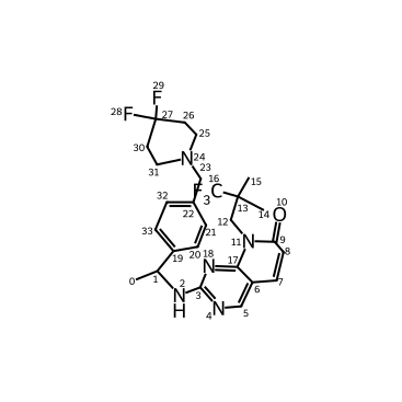 CC(Nc1ncc2ccc(=O)n(CC(C)(C)C(F)(F)F)c2n1)c1ccc(CN2CCC(F)(F)CC2)cc1